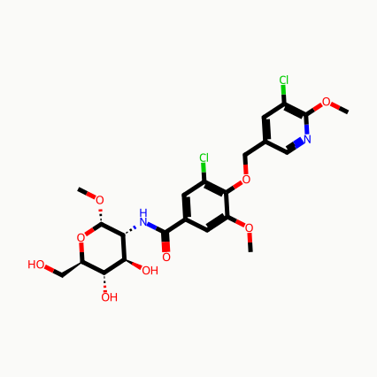 COc1cc(C(=O)N[C@H]2[C@@H](OC)O[C@H](CO)[C@@H](O)[C@@H]2O)cc(Cl)c1OCc1cnc(OC)c(Cl)c1